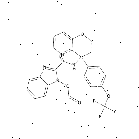 O=COn1c(C(=O)NC2(c3ccc(OC(F)(F)F)cc3)CCOc3cccnc32)nc2ccccc21